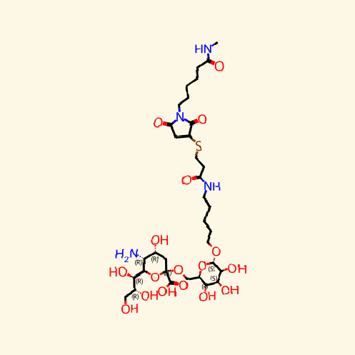 CNC(=O)CCCCCN1C(=O)CC(SCCC(=O)NCCCCCO[C@H]2OC(CO[C@]3(C(=O)O)C[C@@H](O)[C@@H](N)C([C@H](O)[C@H](O)CO)O3)[C@H](O)[C@H](O)C2O)C1=O